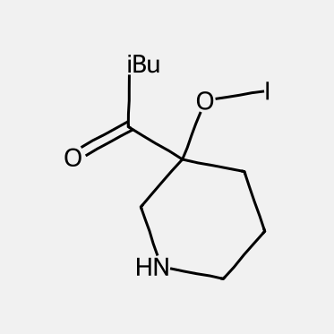 CCC(C)C(=O)C1(OI)CCCNC1